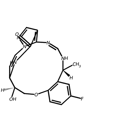 C[C@H]1NC=Nc2c3cnn2C=CC(NC3=O)[C@H](O)COc2ccc(F)cc21